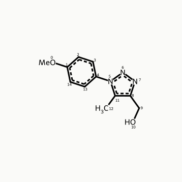 COc1ccc(-n2nnc(CO)c2C)cc1